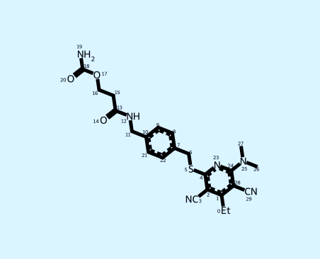 CCc1c(C#N)c(SCc2ccc(CNC(=O)CCOC(N)=O)cc2)nc(N(C)C)c1C#N